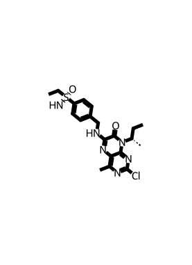 CC[C@H](C)n1c(=O)c(NCc2ccc(S(=N)(=O)CC)cc2)nc2c(C)nc(Cl)nc21